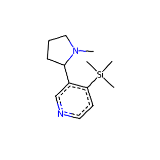 CN1CCCC1c1cnccc1[Si](C)(C)C